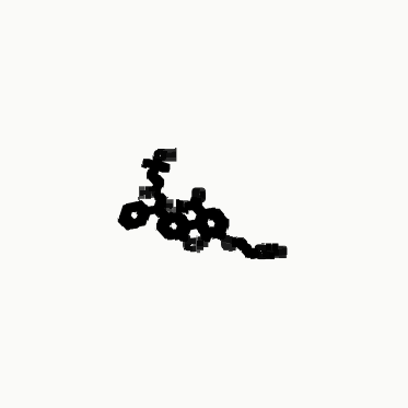 COCCOc1ccc(C(N)=O)c(-c2cc(C(CNCCC(C)(C)O)c3ccccc3)ccc2Cl)c1F